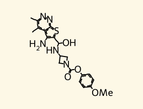 COc1ccc(OC(=O)N2CC(NC(O)c3sc4nnc(C)c(C)c4c3N)C2)cc1